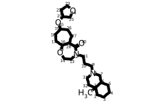 CC12CCCCC1CN(CCCN1CCOC3CCC(OC4CCOC4)CCC3C1=O)CC2